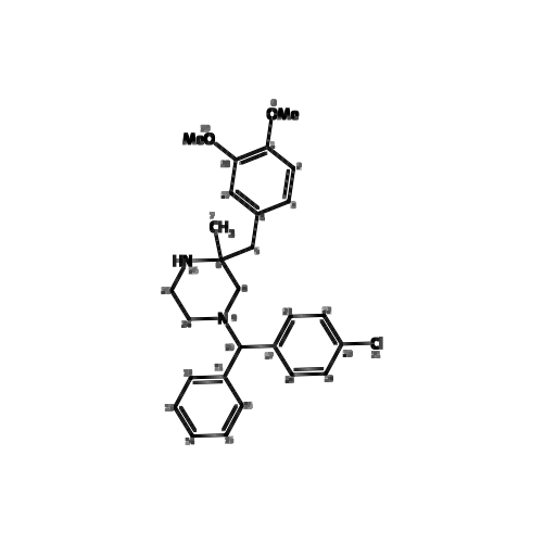 COc1ccc(CC2(C)CN(C(c3ccccc3)c3ccc(Cl)cc3)CCN2)cc1OC